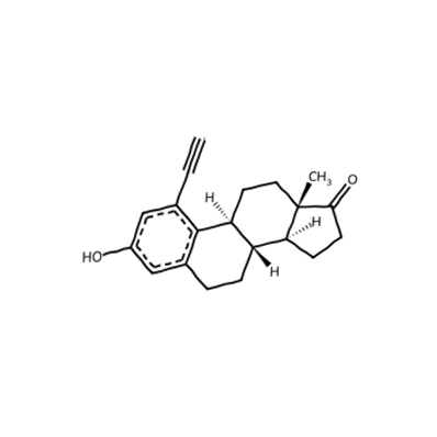 [C]#Cc1cc(O)cc2c1[C@H]1CC[C@]3(C)C(=O)CC[C@H]3[C@@H]1CC2